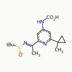 C/C(=N\[S+]([O-])C(C)(C)C)c1cc(NC(=O)O)cc(C2(C)CC2)n1